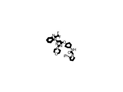 CC(C)[C@@H]1CCCN1CC(=O)N[C@H]1CC[C@H](Oc2cc(-n3c(C(F)F)nc4ccccc43)nc(N3CCOCC3)n2)CC1